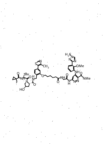 CNC(=O)c1nnc(NC(=O)CNC(=O)CCCCCOc2cc(-c3scnc3C)ccc2CNC(=O)[C@@H]2C[C@@H](O)CN2C(=O)[C@@H](NC(=O)C2(F)CC2)C(C)(C)C)cc1Nc1cccc(-c2ncn(C)n2)c1OC